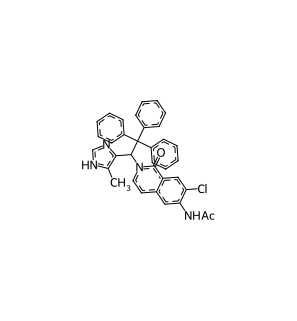 CC(=O)Nc1cc2ccn(C(c3nc[nH]c3C)C(c3ccccc3)(c3ccccc3)c3ccccc3)c(=O)c2cc1Cl